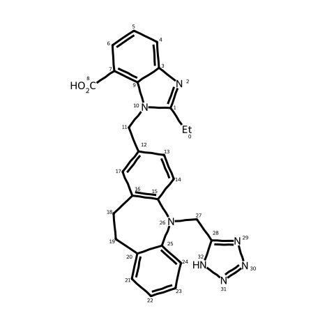 CCc1nc2cccc(C(=O)O)c2n1Cc1ccc2c(c1)CCc1ccccc1N2Cc1nnn[nH]1